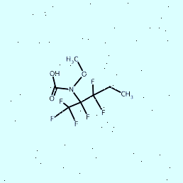 CCC(F)(F)C(F)(N(OC)C(=O)O)C(F)(F)F